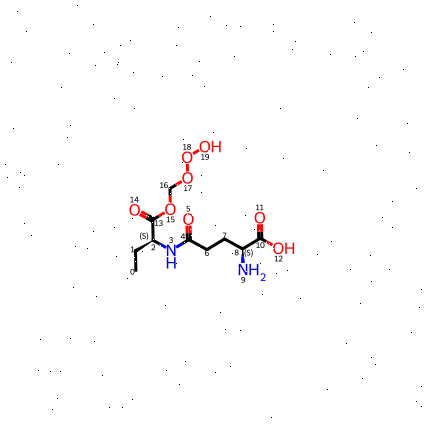 CC[C@H](NC(=O)CC[C@H](N)C(=O)O)C(=O)OCOOO